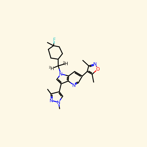 [2H]C([2H])(C1CCC(C)(F)CC1)n1cc(-c2cn(C)nc2C)c2ncc(-c3c(C)noc3C)cc21